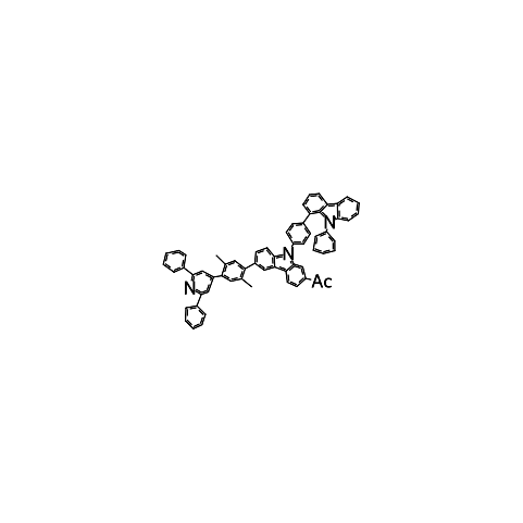 CC(=O)c1ccc2c3cc(-c4cc(C)c(-c5cc(-c6ccccc6)nc(-c6ccccc6)c5)cc4C)ccc3n(-c3ccc(-c4cccc5c6ccccc6n(-c6ccccc6)c45)cc3)c2c1